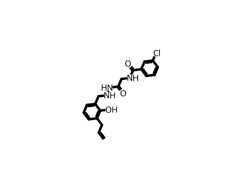 C=CCc1cccc(CNNC(=O)CNC(=O)c2cccc(Cl)c2)c1O